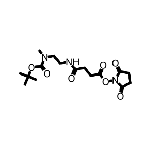 CN(CCNC(=O)CCC(=O)ON1C(=O)CCC1=O)C(=O)OC(C)(C)C